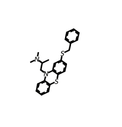 CC(CN1c2ccccc2Sc2ccc(SCc3ccccc3)cc21)N(C)C